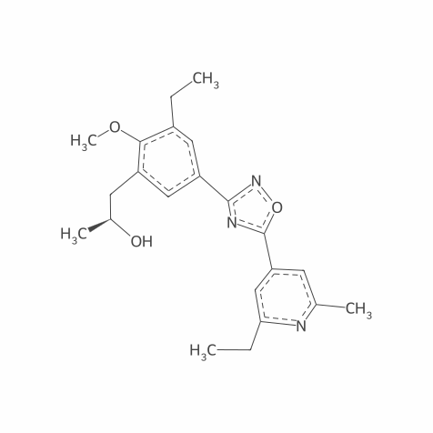 CCc1cc(-c2nc(-c3cc(CC)c(OC)c(C[C@H](C)O)c3)no2)cc(C)n1